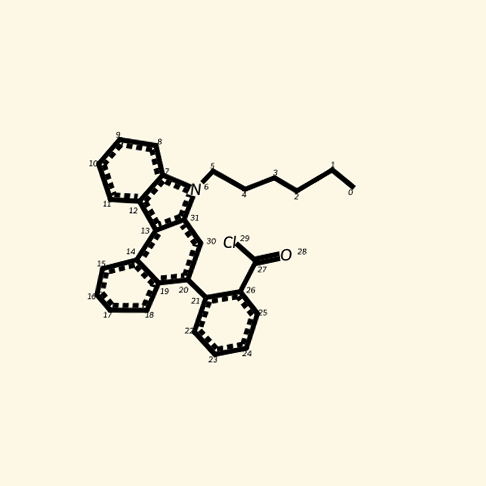 CCCCCCn1c2ccccc2c2c3ccccc3c(-c3ccccc3C(=O)Cl)cc21